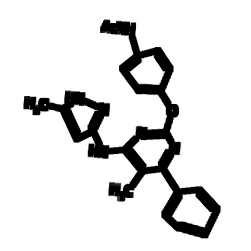 CC(=O)Nc1ccc(Oc2nc(Nc3cc(C)[nH]n3)c(C)c(-c3ccccc3)n2)cc1